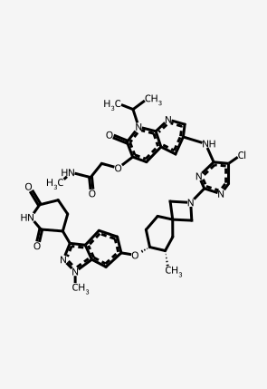 CNC(=O)COc1cc2cc(Nc3nc(N4CC5(CC[C@@H](Oc6ccc7c(C8CCC(=O)NC8=O)nn(C)c7c6)[C@@H](C)C5)C4)ncc3Cl)cnc2n(C(C)C)c1=O